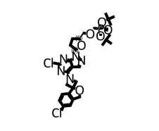 CC(C)(C)OP(=O)(COC[C@@H]1CC[C@H](n2ncc3c(N4CC5(C4)OCc4cc(Cl)ccc45)nc(Cl)nc32)O1)OC(C)(C)C